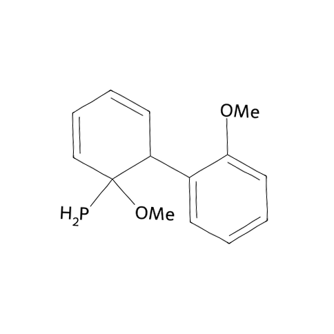 COc1ccccc1C1C=CC=CC1(P)OC